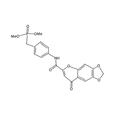 COP(=O)(Cc1ccc(NC(=O)c2cc(=O)c3cc4c(cc3o2)OCO4)cc1)OC